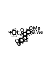 COc1cc2c(=O)n(CCN3CCN(C)CC3)c3c4cc5c(cc4ncc3c2cc1OC)OCO5